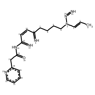 C/C=C/N(CCCCC(=N)/C=C\C(=N)NC(=O)Cc1ccccn1)N=N